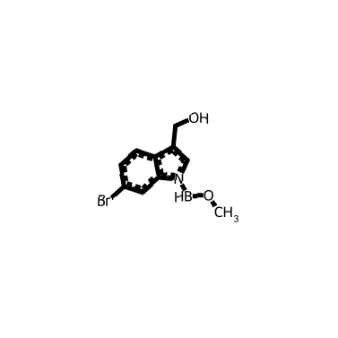 COBn1cc(CO)c2ccc(Br)cc21